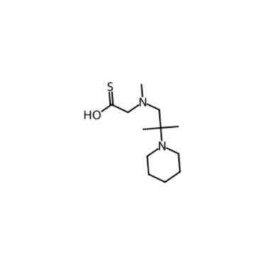 CN(CC(O)=S)CC(C)(C)N1CCCCC1